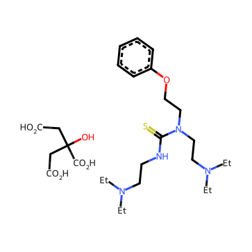 CCN(CC)CCNC(=S)N(CCOc1ccccc1)CCN(CC)CC.O=C(O)CC(O)(CC(=O)O)C(=O)O